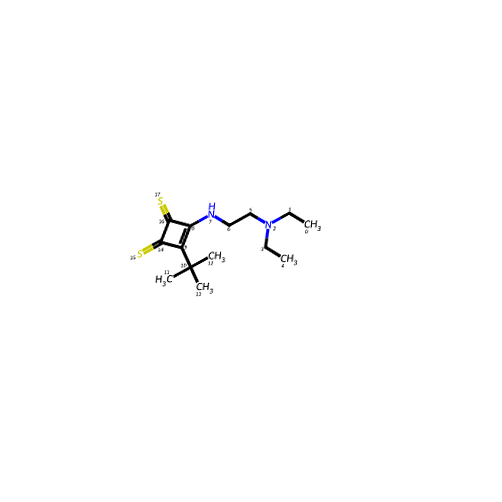 CCN(CC)CCNc1c(C(C)(C)C)c(=S)c1=S